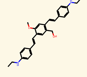 CCNc1ccc(/C=C/c2cc(OC)c(/C=C/c3ccc(NCC)cc3)cc2CO)cc1